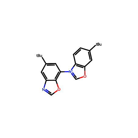 CC(C)(C)c1cc(-[n+]2coc3cc(C(C)(C)C)ccc32)c2ocnc2c1